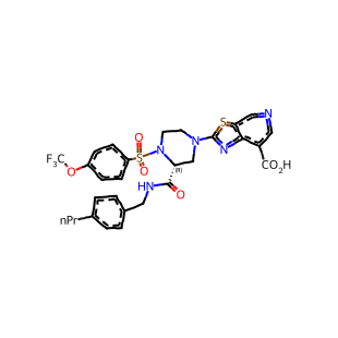 CCCc1ccc(CNC(=O)[C@H]2CN(c3nc4c(C(=O)O)cncc4s3)CCN2S(=O)(=O)c2ccc(OC(F)(F)F)cc2)cc1